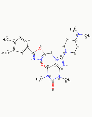 COc1cc(-c2nnc(Cn3c(N4CCC(N(C)C)CC4)nc4c3c(=O)n(C)c(=O)n4C)o2)ccc1C